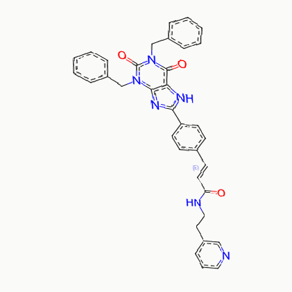 O=C(/C=C/c1ccc(-c2nc3c([nH]2)c(=O)n(Cc2ccccc2)c(=O)n3Cc2ccccc2)cc1)NCCc1cccnc1